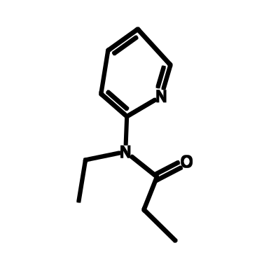 CCC(=O)N(CC)c1ccccn1